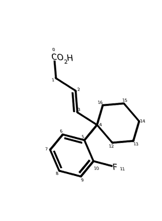 O=C(O)CC=CC1(c2ccccc2F)CCCCC1